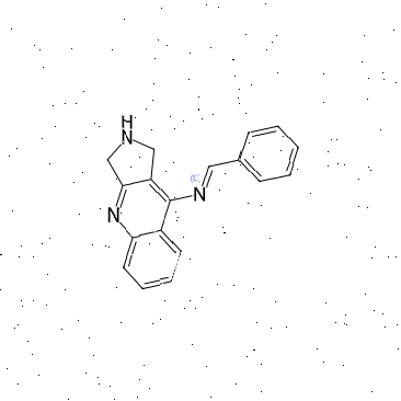 C(=N\c1c2c(nc3ccccc13)CNC2)/c1ccccc1